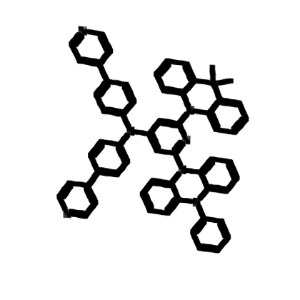 CC1(C)c2ccccc2N(c2cc(N(c3ccc(-c4ccncc4)cc3)c3ccc(-c4ccncc4)cc3)cc(N3c4ccccc4N(c4ccccc4)c4ccccc43)n2)c2ccccc21